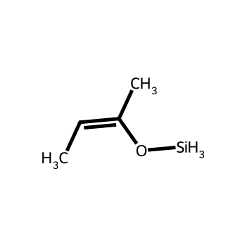 CC=C(C)O[SiH3]